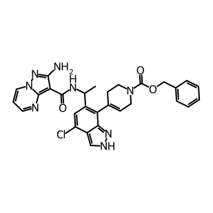 CC(NC(=O)c1c(N)nn2cccnc12)c1cc(Cl)c2c[nH]nc2c1C1=CCN(C(=O)OCc2ccccc2)CC1